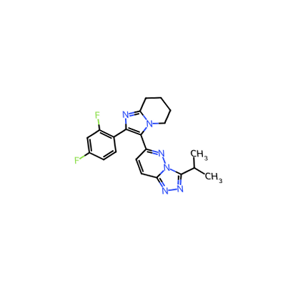 CC(C)c1nnc2ccc(-c3c(-c4ccc(F)cc4F)nc4n3CCCC4)nn12